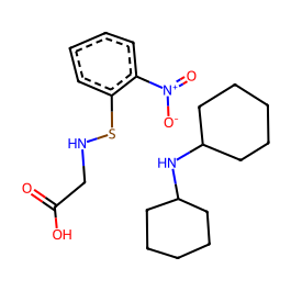 C1CCC(NC2CCCCC2)CC1.O=C(O)CNSc1ccccc1[N+](=O)[O-]